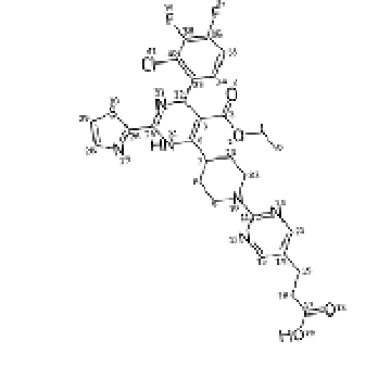 CCOC(=O)C1=C(C2CCN(c3ncc(CCC(=O)O)cn3)CC2)NC(c2nccs2)=NC1c1ccc(F)c(F)c1Cl